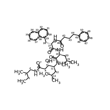 CCC(C)CNC(=O)C[C@H](O)[C@H](CC(C)C)NC(=O)[C@H](CC(C)C)NC(=O)[C@H](Cc1cccc2ccccc12)NC(=O)CCCc1ccccc1